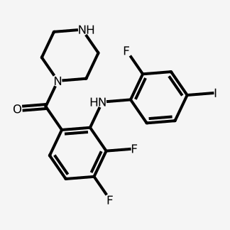 O=C(c1ccc(F)c(F)c1Nc1ccc(I)cc1F)N1CCNCC1